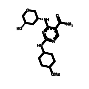 COC1CCC(Nc2ncc(C(N)=O)c(N[C@H]3COC[C@@H](O)C3)n2)CC1